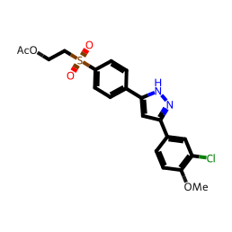 COc1ccc(-c2cc(-c3ccc(S(=O)(=O)CCOC(C)=O)cc3)[nH]n2)cc1Cl